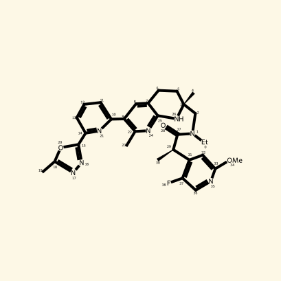 CCN(C[C@@]1(C)CCc2cc(-c3cccc(-c4nnc(C)o4)n3)c(C)nc2N1)C(=O)[C@H](C)c1cc(OC)ncc1F